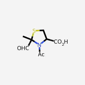 CC(=O)N1C(C(=O)O)CSC1(C)C=O